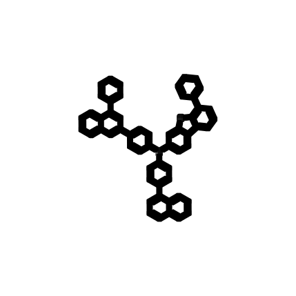 c1ccc(-c2cc(-c3ccc(N(c4ccc(-c5cccc6ccccc56)cc4)c4ccc5c(c4)oc4c(-c6ccccc6)cccc45)cc3)cc3ccccc23)cc1